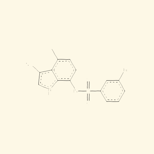 Cc1ccc(NS(=O)(=O)c2cccc(Br)c2)c2[nH]cc(C#N)c12